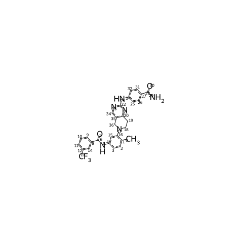 Cc1ccc(NC(=O)c2cccc(C(F)(F)F)c2)cc1N1CCc2nc(Nc3ccc(C(N)=O)cc3)ncc2C1